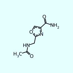 CC(=O)NCc1nc(C(N)=O)co1